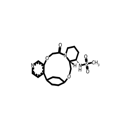 CS(=O)(=O)N[C@H]1CCCN2C(=O)COc3cnccc3C3CCC(CC3)OC[C@@H]12